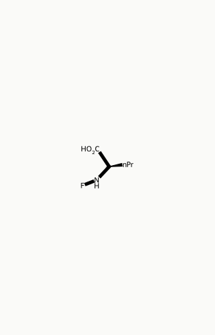 CCC[C@@H](NF)C(=O)O